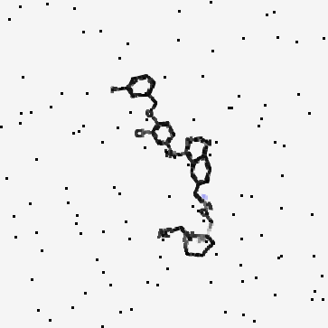 N#CCN1CCC[C@H]1CO/N=C/c1ccc2ncnc(Nc3ccc(OCc4cccc(F)c4)c(Cl)c3)c2c1